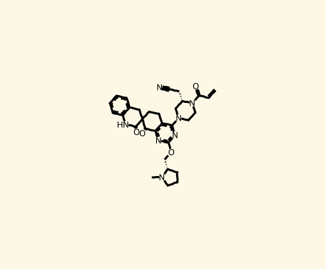 C=CC(=O)N1CCN(c2nc(OC[C@@H]3CCCN3C)nc3c2CCC2(Cc4ccccc4NC2=O)C3=O)C[C@@H]1CC#N